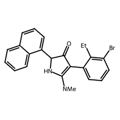 CCc1c(Br)cccc1C1=C(NC)NC(c2cccc3ccccc23)C1=O